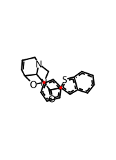 O=C(c1cc2ccccc2s1)N1CN2CC=CC(O1)C2c1ccccc1